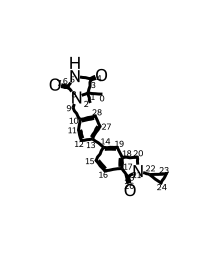 CC1(C)C(=O)NC(=O)N1Cc1ccc(-c2ccc3c(c2)CN(C2CC2)C3=O)cc1